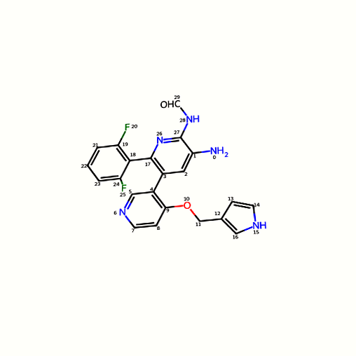 Nc1cc(-c2cnccc2OCc2cc[nH]c2)c(-c2c(F)cccc2F)nc1NC=O